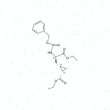 CCOC(=O)[C@H]1C[C@H]1C[C@@H](NC(=O)OCc1ccccc1)C(=O)OCC